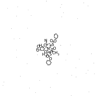 CN1C(=O)C2[C@H](SC(=O)Oc3ccccc3)C[C@](C)(C#N)C(c3ccc4c(c3)OCO4)N2C(=O)[C@]1(C)SC(=O)Oc1ccccc1